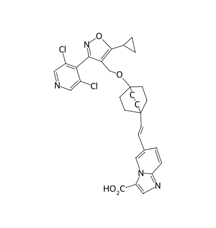 O=C(O)c1cnc2ccc(C=CC34CCC(OCc5c(-c6c(Cl)cncc6Cl)noc5C5CC5)(CC3)CC4)cn12